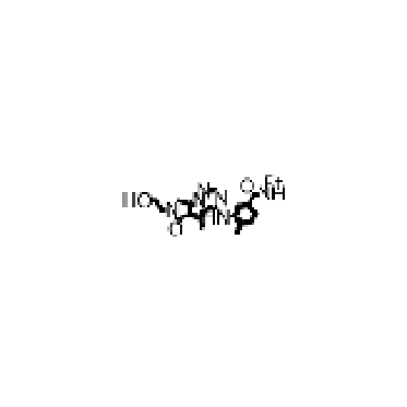 CCNC(=O)c1ccc(C)c(Nc2ncnn3c4c(c(C)c23)C(=O)N(CCO)C4)c1